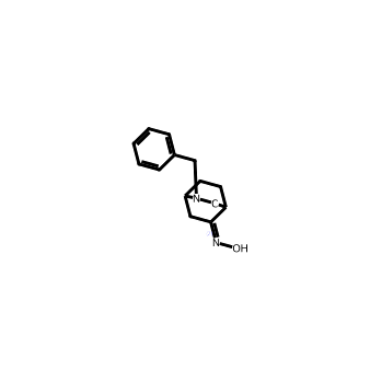 O/N=C1/CC2CCC1CN2Cc1ccccc1